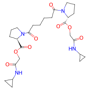 O=C(COC(=O)[C@H]1CCCN1C(=O)CCCCC(=O)N1CCC[C@@H]1C(=O)OCC(=O)NC1CC1)NC1CC1